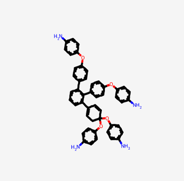 Nc1ccc(Oc2ccc(-c3cccc(C4=CCC(Oc5ccc(N)cc5)(Oc5ccc(N)cc5)C=C4)c3-c3ccc(Oc4ccc(N)cc4)cc3)cc2)cc1